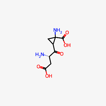 N[C@@H](CC(=O)O)C(=O)C1CC1(N)C(=O)O